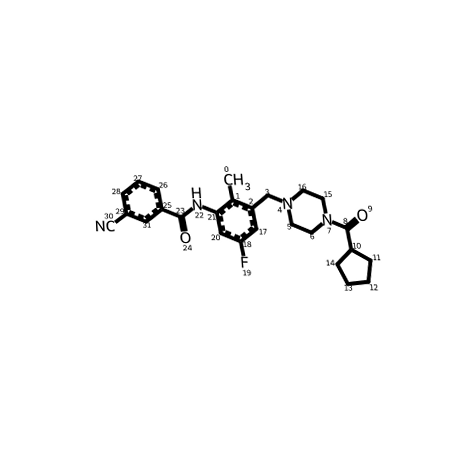 Cc1c(CN2CCN(C(=O)C3CCCC3)CC2)cc(F)cc1NC(=O)c1cccc(C#N)c1